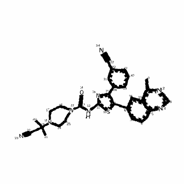 Cc1ncnc2ccc(-c3sc(NC(=O)N4CCN(C(C)(C)C#N)CC4)nc3-c3cccc(C#N)c3)cc12